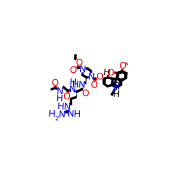 CCOC(=O)N1CCN(C(=O)OC2=CC[C@H]3[C@H]4Cc5ccc(OC)c6c5[C@@]3(CCN4C)[C@H]2O6)[C@@H](CNC(=O)[C@H](CCCNC(=N)N)NC(=O)CNC(C)=O)C1